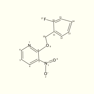 O=[N+]([O-])c1cccnc1OCc1ccccc1F